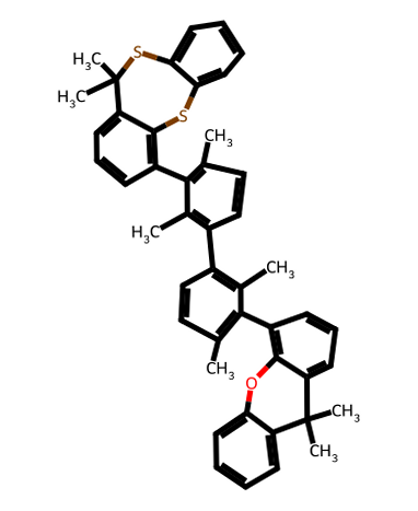 Cc1ccc(-c2ccc(C)c(-c3cccc4c3Sc3ccccc3SC4(C)C)c2C)c(C)c1-c1cccc2c1Oc1ccccc1C2(C)C